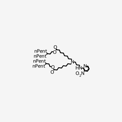 CCCCCC(CCCCC)CCOC(=O)CCCCCCCN(CCCCCCCC(=O)OCCC(CCCCC)CCCCC)CCCNc1ncccc1[N+](=O)[O-]